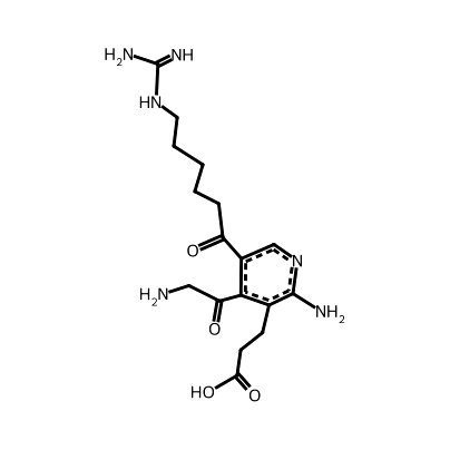 N=C(N)NCCCCCC(=O)c1cnc(N)c(CCC(=O)O)c1C(=O)CN